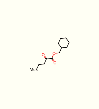 CSCCC(=O)C(=O)OCC1CCCCC1